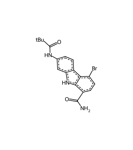 CC(C)(C)C(=O)Nc1ccc2c(c1)[nH]c1c(C(N)=O)ccc(Br)c12